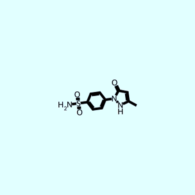 Cc1cc(=O)n(-c2ccc(S(N)(=O)=O)cc2)[nH]1